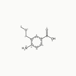 COCc1cc(C(=O)O)ccc1N